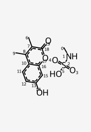 CNS(=O)(=O)O.Cc1c(C)c2ccc(O)cc2oc1=O